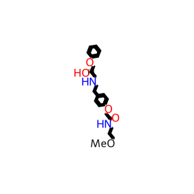 COCCCNC(=O)COc1ccc(CCNC[C@H](O)COc2ccccc2)cc1